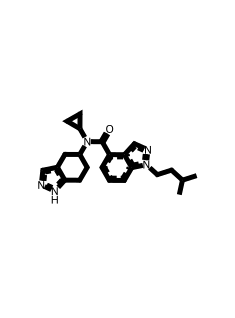 CC(C)CCn1ncc2c(C(=O)N(C3CC3)C3CCc4[nH]ncc4C3)cccc21